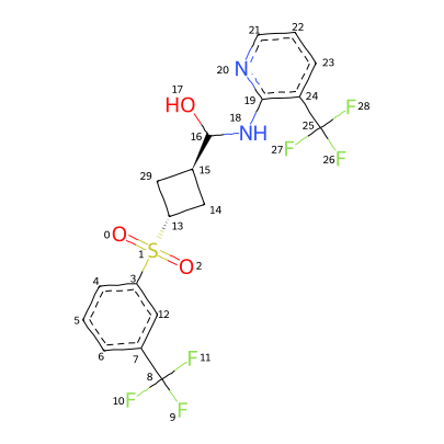 O=S(=O)(c1cccc(C(F)(F)F)c1)[C@H]1C[C@H](C(O)Nc2ncccc2C(F)(F)F)C1